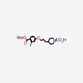 COC(=O)c1ccc(OCCCC2CCN(C(=O)O)CC2)cc1F